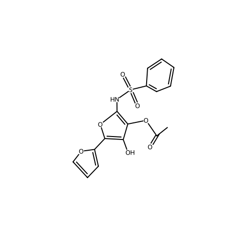 CC(=O)Oc1c(NS(=O)(=O)c2ccccc2)oc(-c2ccco2)c1O